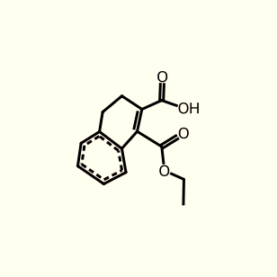 CCOC(=O)C1=C(C(=O)O)CCc2ccccc21